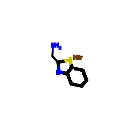 Br.NCc1nc2ccccc2s1